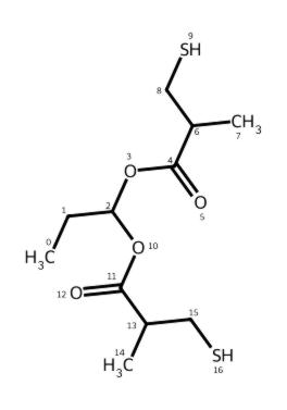 CCC(OC(=O)C(C)CS)OC(=O)C(C)CS